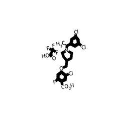 C[C@H](c1cc(Cl)cc(Cl)c1)N1CCC(COc2cc(F)c(C(=O)O)cc2Cl)CC1.O=C(O)C(F)(F)F